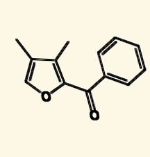 Cc1coc(C(=O)c2ccccc2)c1C